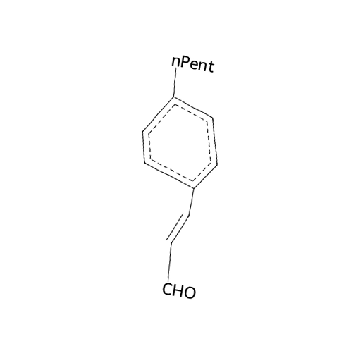 CCCCCc1ccc(C=CC=O)cc1